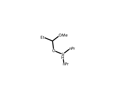 CCC[SiH](CCC)OC(CC)OC